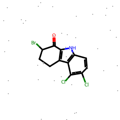 O=C1c2[nH]c3ccc(Cl)c(Cl)c3c2CCC1Br